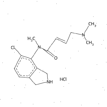 CN(C)C/C=C/C(=O)N(C)c1c(Cl)ccc2c1CNC2.Cl